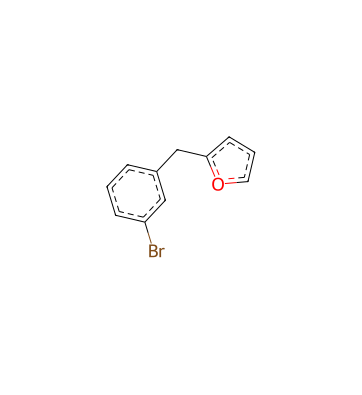 Brc1cccc(Cc2ccco2)c1